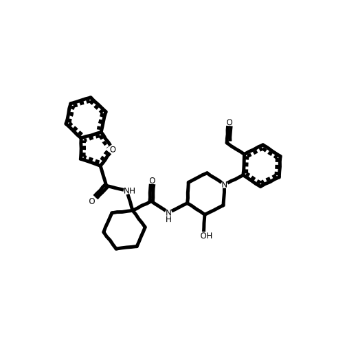 O=Cc1ccccc1N1CCC(NC(=O)C2(NC(=O)c3cc4ccccc4o3)CCCCC2)C(O)C1